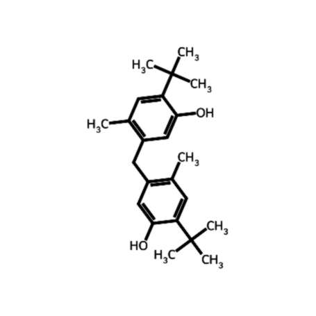 Cc1cc(C(C)(C)C)c(O)cc1Cc1cc(O)c(C(C)(C)C)cc1C